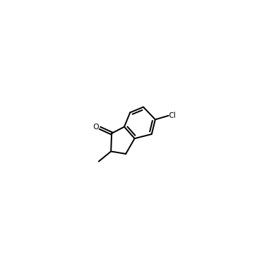 CC1Cc2cc(Cl)ccc2C1=O